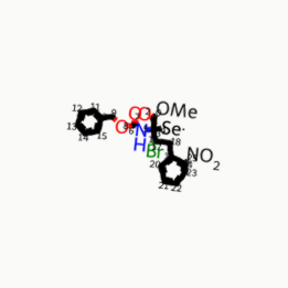 COC(=O)C([Se])(NC(=O)OCc1ccccc1)C(Br)Cc1ccccc1[N+](=O)[O-]